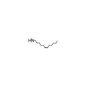 CCCCC/C=C\CCCCCNC